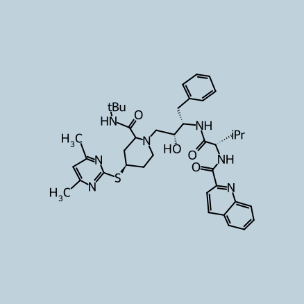 Cc1cc(C)nc(S[C@@H]2CCN(C[C@@H](O)[C@H](Cc3ccccc3)NC(=O)[C@@H](NC(=O)c3ccc4ccccc4n3)C(C)C)C(C(=O)NC(C)(C)C)C2)n1